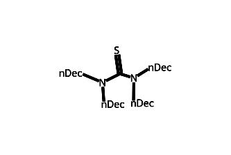 CCCCCCCCCCN(CCCCCCCCCC)C(=S)N(CCCCCCCCCC)CCCCCCCCCC